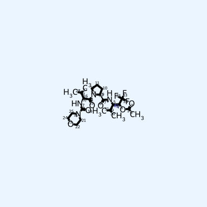 CC(=O)O/C(=C(/NC(=O)[C@@H]1CCCN1C(=O)[C@@H](NC(=O)N1CCOCC1)C(C)C)C(C)C)C(F)(F)F